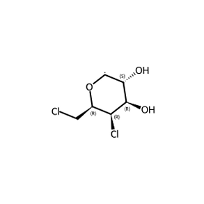 O[C@H]1[C@@H](Cl)[C@@H](CCl)O[CH][C@@H]1O